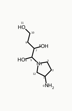 NC1CCN(C(O)C(O)CCO)C1